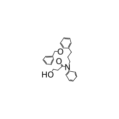 O=C(CCO)N(CCCc1ccccc1OCc1ccccc1)c1ccccc1